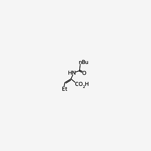 CC/C=C(/NC(=O)CCCC)C(=O)O